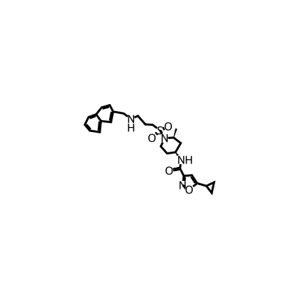 C[C@H]1C[C@@H](NC(=O)c2cc(C3CC3)on2)CCN1S(=O)(=O)CCCNCc1ccc2ccccc2c1